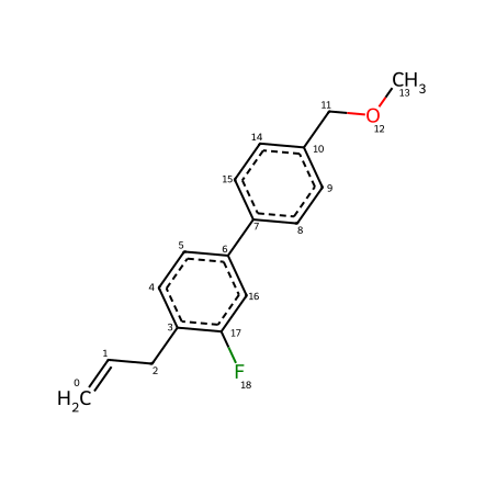 C=CCc1ccc(-c2ccc(COC)cc2)cc1F